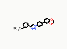 O=C(O)Cc1cccc(-c2cn(-c3ccc(-c4ccc5c(c4)OCCO5)cc3)nn2)c1